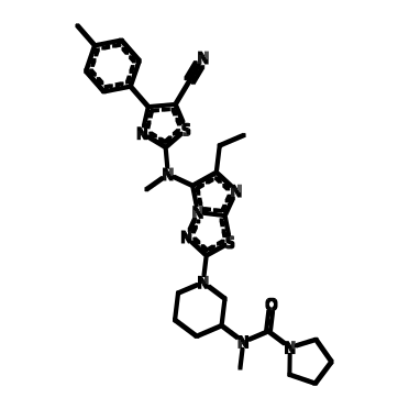 CCc1nc2sc(N3CCCC(N(C)C(=O)N4CCCC4)C3)nn2c1N(C)c1nc(-c2ccc(C)cc2)c(C#N)s1